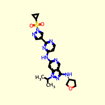 CC(C)n1nc(N[C@@H]2CCOC2)c2cnc(Nc3ccnc(-c4cnn(S(=O)(=O)C5CC5)c4)n3)cc21